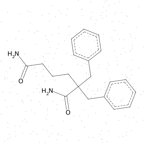 NC(=O)CCCC(Cc1ccccc1)(Cc1ccccc1)C(N)=O